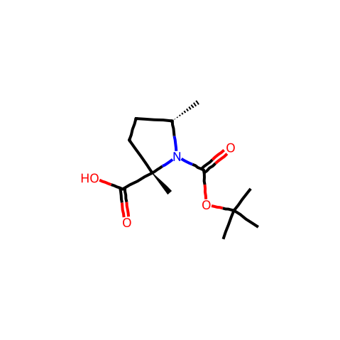 C[C@H]1CC[C@@](C)(C(=O)O)N1C(=O)OC(C)(C)C